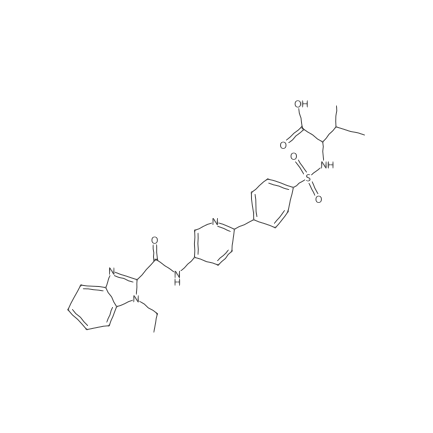 CCn1c(C(=O)Nc2ccc(-c3ccc(S(=O)(=O)NC(C(=O)O)C(C)C)cc3)nc2)nc2ccccc21